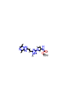 Cc1ncc(C)n2nc(C=Cc3nc(N4CCC(NC(=O)OC(C)(C)C)C4)nn3C)nc12